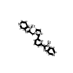 CCn1c(Cn2ccnc2-c2cccc(-c3nc4cnccc4n3CC)n2)nc2cnccc21